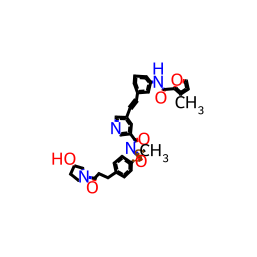 Cc1ccoc1C(=O)Nc1cccc(C#Cc2cncc(C(=O)N=S(C)(=O)c3ccc(CCC(=O)N4CCC(O)C4)cc3)c2)c1